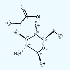 NCC(=O)O.N[C@@H]1[C@@H](O)[C@H](O)[C@@H](CO)O[C@H]1O